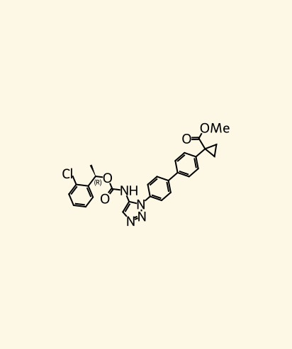 COC(=O)C1(c2ccc(-c3ccc(-n4nncc4NC(=O)O[C@H](C)c4ccccc4Cl)cc3)cc2)CC1